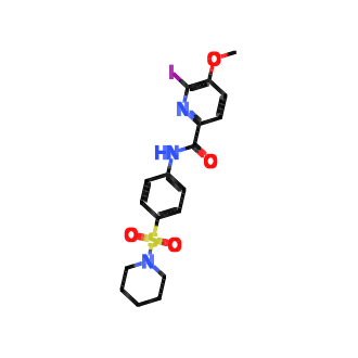 COc1ccc(C(=O)Nc2ccc(S(=O)(=O)N3CCCCC3)cc2)nc1I